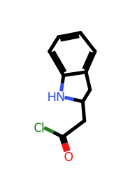 O=C(Cl)CC1Cc2ccccc2N1